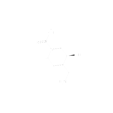 NCC1CCN(C(=O)O)C[C@H]1O